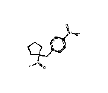 O=[N+]([O-])c1ccc(CC2([N+](=O)[O-])CCCC2)cc1